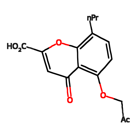 CCCc1ccc(OCC(C)=O)c2c(=O)cc(C(=O)O)oc12